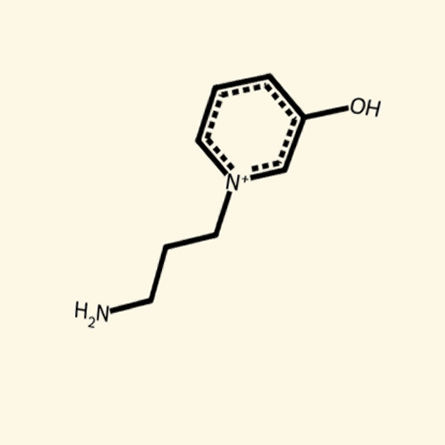 NCCC[n+]1cccc(O)c1